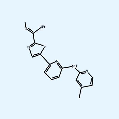 C/N=C(/c1ncc(-c2cccc(Nc3cc(C)ccn3)n2)s1)C(C)C